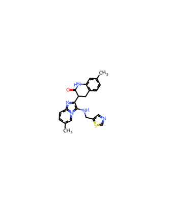 Cc1ccc2c(c1)NC(=O)C(c1nc3ccc(C)cn3c1NCc1cncs1)C2